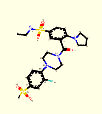 CCNS(=O)(=O)c1ccc(N2CCCC2)c(C(=O)N2CCN(c3ccc(S(C)(=O)=O)cc3F)CC2)c1